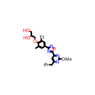 CCc1cc(-c2noc(-c3cc(CC(C)C)nc(OC)n3)n2)cc(C)c1OCC(O)CO